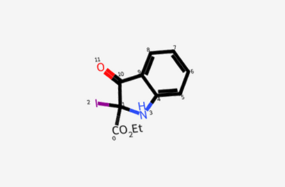 CCOC(=O)C1(I)Nc2ccccc2C1=O